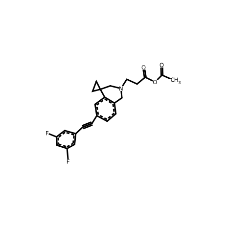 CC(=O)OC(=O)CCN1Cc2ccc(C#Cc3cc(F)cc(F)c3)cc2C2(CC2)C1